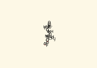 Cc1cc(Oc2ccccc2F)ccc1-n1ncc(C(=O)c2cc3cc(F)c(N[S+]([O-])N4CCOCC4)cc3[nH]2)c1N